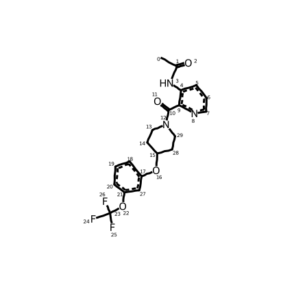 CC(=O)Nc1cccnc1C(=O)N1CCC(Oc2cccc(OC(F)(F)F)c2)CC1